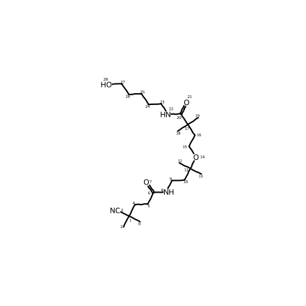 CC(C)(C#N)CCC(=O)NCCC(C)(C)OCCC(C)(C)C(=O)NCCCCCO